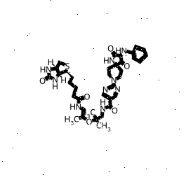 CC(CNC(=O)CCCC[C@@H]1SC[C@@H]2NC(=O)N[C@@H]21)OC(C)(C)CNC(=O)c1cnc(N2CCC3(CC2)NC(=O)C(Nc2ccccc2)C3=O)nc1